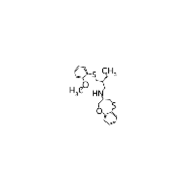 CC[C@@H](CN[C@@H]1COc2ccccc2SC1)CSc1ccccc1OC